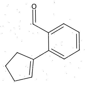 O=[C]c1ccccc1C1=CCCC1